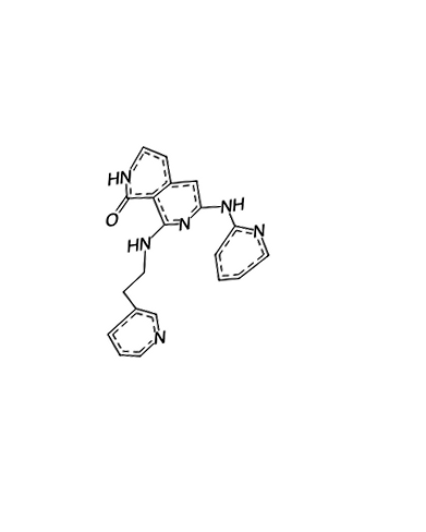 O=c1[nH]ccc2cc(Nc3ccccn3)nc(NCCc3cccnc3)c12